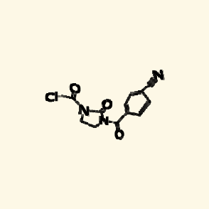 N#Cc1ccc(C(=O)N2CCN(C(=O)Cl)C2=O)cc1